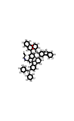 C=C/C=C\C1=CC2(c3cc(N(c4ccccc4)c4ccc5c(c4)sc4ccccc45)c(-c4ccc5ccccc5c4)cc31)c1cc(N(c3ccccc3)c3ccccc3)ccc1C1=CC=CCC12